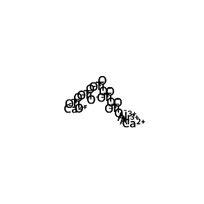 [Al+3].[Al+3].[Ca+2].[Ca+2].[O]=[Ti]([O-])[O-].[O]=[Ti]([O-])[O-].[O]=[Ti]([O-])[O-].[O]=[Ti]([O-])[O-].[O]=[Ti]([O-])[O-]